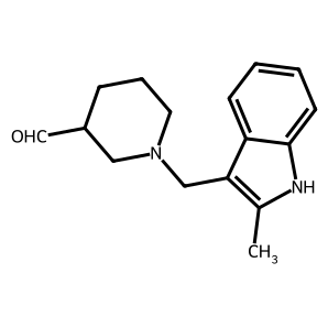 Cc1[nH]c2ccccc2c1CN1CCCC(C=O)C1